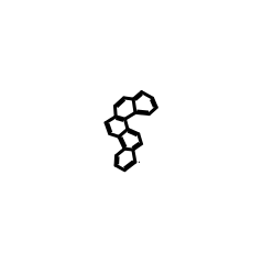 [c]1cccc2c1ccc1c2ccc2ccc3ccccc3c21